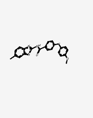 COc1ccc([I+]c2ccc(C(=O)Nc3nc4ccc(C)cc4s3)cc2)cc1